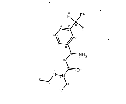 CCON(CC)C(=O)CC(N)c1cccc(C(F)(F)F)c1